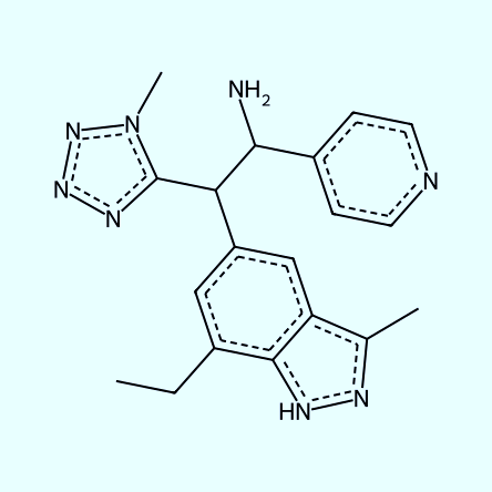 CCc1cc(C(c2nnnn2C)C(N)c2ccncc2)cc2c(C)n[nH]c12